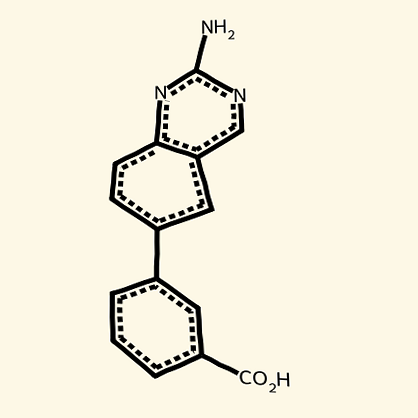 Nc1ncc2cc(-c3cccc(C(=O)O)c3)ccc2n1